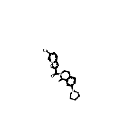 CC1c2cc(N3CCCCC3)ccc2CCN1C(=O)c1cc2ccc(Cl)cn2n1